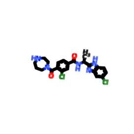 CC(NC(=O)c1ccc(C(=O)N2CCCNCC2)c(Cl)c1)c1nc2cc(Cl)ccc2[nH]1